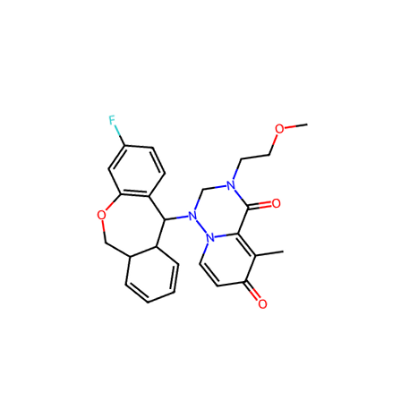 COCCN1CN(C2c3ccc(F)cc3OCC3C=CC=CC32)n2ccc(=O)c(C)c2C1=O